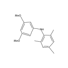 COc1cc(Nc2c(C)cc(C)cc2C)cc(OC)c1